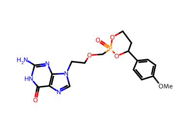 COc1ccc(C2CCOP(=O)(COCCn3cnc4c(=O)[nH]c(N)nc43)O2)cc1